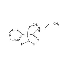 CCCNC(=O)C(OC)(c1ccccc1)C(F)F